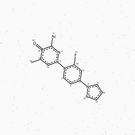 CC(=O)c1nn(-c2ccc(-n3cccn3)cc2F)cc(C)c1=O